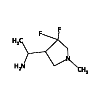 CC(N)C1CN(C)CC1(F)F